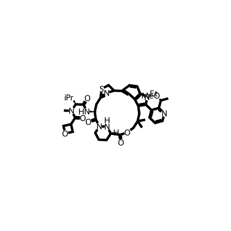 CCn1c(-c2cccnc2[C@H](C)OC)c2c3cc(ccc31)C1CSC(=N1)C[C@H](NC(=O)[C@H](C(C)C)N(C)C(=O)C1COC1)C(=O)N1CCC[C@H](N1)C(=O)OCC(C)(C)C2